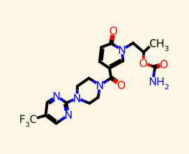 CC(Cn1cc(C(=O)N2CCN(c3ncc(C(F)(F)F)cn3)CC2)ccc1=O)OC(N)=O